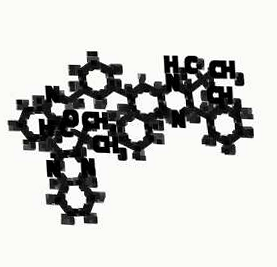 CC(C)(C)c1nc2cc(-c3cccc(-c4nc5cccc(-c6nc7ccccc7nc6C(C)(C)C)c5o4)c3)c3ccccc3c2nc1-c1ccccc1